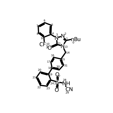 CCCCc1nn(-c2ccccc2C(F)(F)F)c(=O)n1Cc1ccc(-c2ccccc2S(=O)(=O)NC#N)cc1